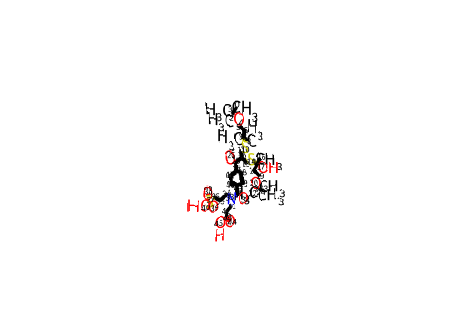 CC(C)(C)OCCC(C)(C)SCC(CSC(C)(O)CCOC(C)(C)C)C(=O)c1ccc(C(=O)N(CCCS(=O)(=O)O)CCC(=O)O)cc1